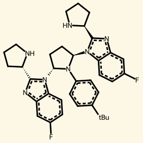 CC(C)(C)c1ccc(N2[C@H](n3c([C@@H]4CCCN4)nc4cc(F)ccc43)CC[C@H]2n2c([C@@H]3CCCN3)nc3cc(F)ccc32)cc1